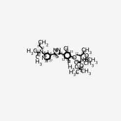 C=CCN(c1cc(-c2nnc(-c3cc(F)c(OCC4C(C)OC(C)(C)N4C(=O)OC(C)(C)C)cc3Cl)s2)ccn1)C(C)C